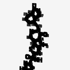 Cn1c2nc(S(=N)(=O)c3cc[nH]n3)sc2c2cnn(Cc3cccc4[nH]ncc34)c(=O)c21